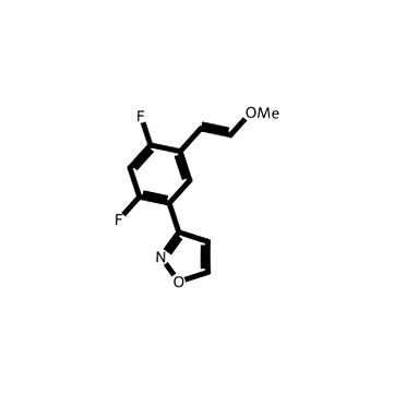 COC=Cc1cc(-c2ccon2)c(F)cc1F